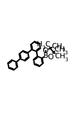 CC1(C)OB(c2ccccc2-c2ccccc2-c2ccc(-c3ccccc3)cc2)OC1(C)C